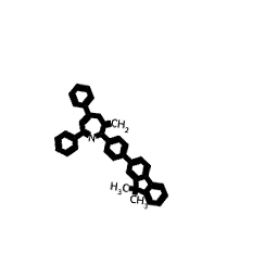 C=C1CC(c2ccccc2)=CC(c2ccccc2)=NC1c1ccc(-c2ccc3c(c2)C(C)(C)c2ccccc2-3)cc1